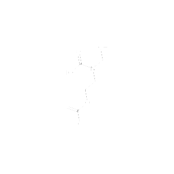 CCN(CCOC(C)=O)C(=O)O